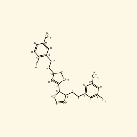 Fc1cc(CCC2N=[C]OC2C2=NC(CCc3cc(C(F)(F)F)ccc3F)CO2)cc(C(F)(F)F)c1